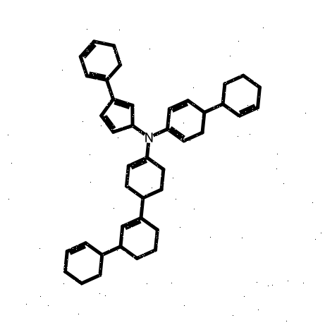 C1=CCCC(C2=CC(N(C3=CCC(C4C=CCCC4)C=C3)C3=CCC(C4=CC(C5C=CCCC5)CCC4)CC3)C=C2)=C1